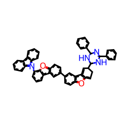 C1=c2oc3ccc(-c4ccc5oc6c(-n7c8ccccc8c8ccccc87)cccc6c5c4)cc3c2=CC(C2NC(c3ccccc3)=NC(c3ccccc3)N2)C1